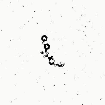 CC1(C)[C@H](C(=O)O[C@H](C#N)c2cccc(Oc3ccccc3)c2)[C@@H]1/C=C\C(=O)OCCC(F)(F)F